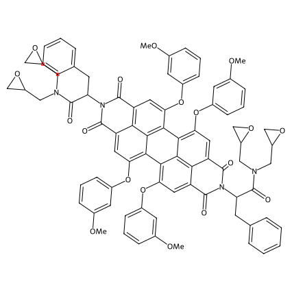 COc1cccc(Oc2cc3c4c(cc(Oc5cccc(OC)c5)c5c6c(Oc7cccc(OC)c7)cc7c8c(cc(Oc9cccc(OC)c9)c(c2c45)c86)C(=O)N(C(Cc2ccccc2)C(=O)N(CC2CO2)CC2CO2)C7=O)C(=O)N(C(Cc2ccccc2)C(=O)N(CC2CO2)CC2CO2)C3=O)c1